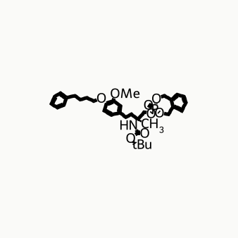 COc1cc(CC[C@](C)(COP2(=O)OCc3ccccc3CO2)NC(=O)OC(C)(C)C)ccc1OCCCCc1ccccc1